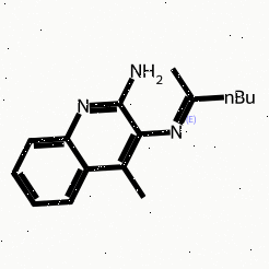 CCCC/C(C)=N/c1c(N)nc2ccccc2c1C